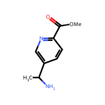 COC(=O)c1ccc(C(C)N)cn1